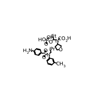 CCC(OP(=O)(O)O)N(C(=O)O)C1CCOC1.Cc1cccc(N(CC(C)C)S(=O)(=O)c2ccc(N)cc2)c1